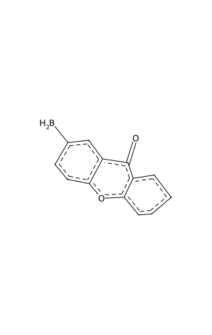 Bc1ccc2oc3ccccc3c(=O)c2c1